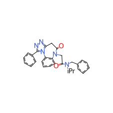 CC(C)N(Cc1ccccc1)C(=O)CN1C(=O)Cc2nnc(-c3ccccc3)n2-c2ccccc21